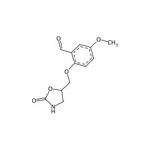 COc1ccc(OCC2CNC(=O)O2)c(C=O)c1